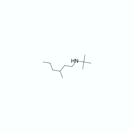 CCCC(C)CCNC(C)(C)C